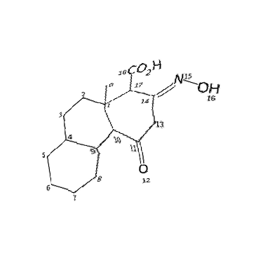 CC12CCC3CCCCC3C1C(=O)CC(=NO)C2C(=O)O